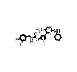 Cc1cnc(NC2CCCCC2)nc1-c1c[nH]c(OC(=O)NCc2ccc(F)c(F)c2)c1